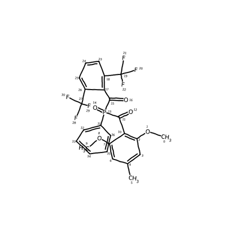 COc1cc(C)cc(OC)c1C(=O)P(=O)(C(=O)c1c(C(F)(F)F)cccc1C(F)(F)F)c1ccccc1